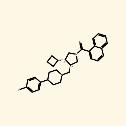 O=C(c1cccc2ccccc12)N1C[C@@H](CN2CCC(c3ccc(F)cc3)CC2)[C@H](C2CCC2)C1